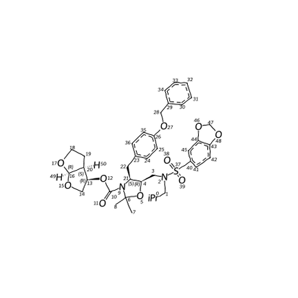 CC(C)CN(C[C@H]1OC(C)(C)N(C(=O)O[C@H]2CO[C@H]3OCC[C@H]32)[C@H]1Cc1ccc(OCc2ccccc2)cc1)S(=O)(=O)c1ccc2c(c1)OCO2